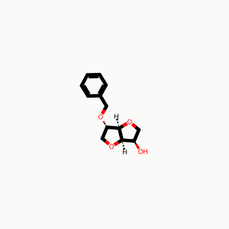 O[C@@H]1CO[C@H]2[C@@H]1OC[C@@H]2OCc1ccccc1